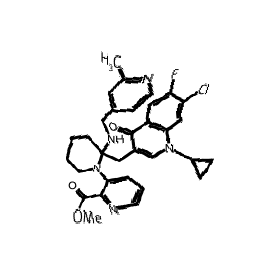 COC(=O)c1ncccc1N1CCCCC1(Cc1cn(C2CC2)c2cc(Cl)c(F)cc2c1=O)NCc1ccnc(C)c1